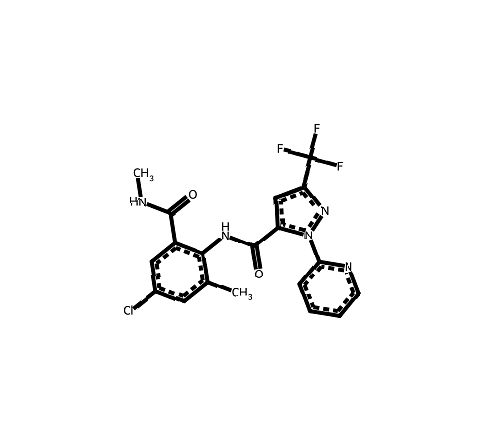 CNC(=O)c1cc(Cl)cc(C)c1NC(=O)c1cc(C(F)(F)F)nn1-c1ccccn1